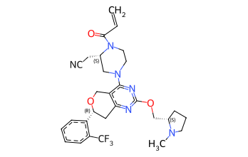 C=CC(=O)N1CCN(c2nc(OC[C@@H]3CCCN3C)nc3c2CO[C@@H](c2ccccc2C(F)(F)F)C3)C[C@@H]1CC#N